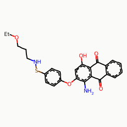 CCOCCCNSc1ccc(Oc2cc(O)c3c(c2N)C(=O)c2ccccc2C3=O)cc1